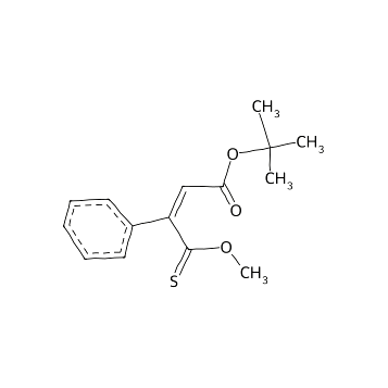 COC(=S)/C(=C\C(=O)OC(C)(C)C)c1ccccc1